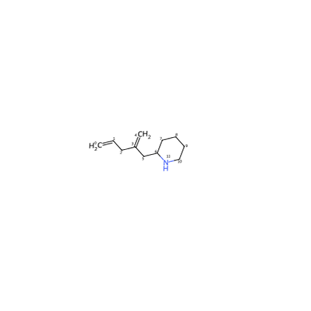 C=CCC(=C)CC1CCCCN1